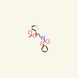 CC(=O)O[C@H](CCN(C)C(=O)Oc1ccccc1)c1cccs1